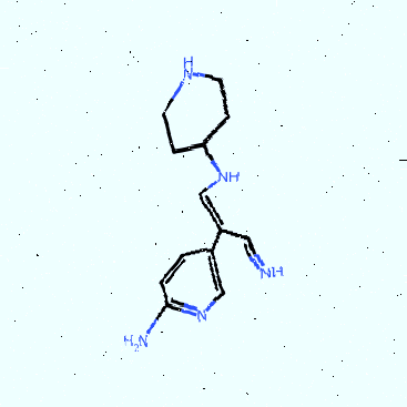 N=C/C(=C\NC1CCNCC1)c1ccc(N)nc1